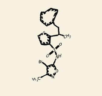 Cc1noc(NS(=O)(=O)c2ccsc2C(C)Cc2ccccc2)c1Br